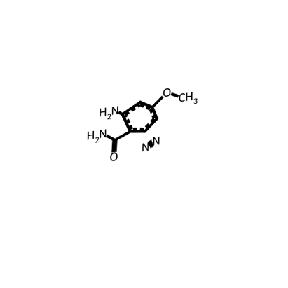 COc1ccc(C(N)=O)c(N)c1.N#N